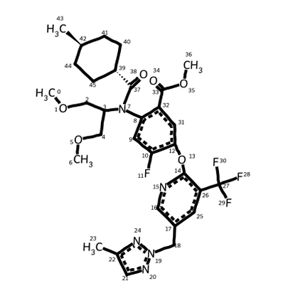 COCC(COC)N(c1cc(F)c(Oc2ncc(Cn3ncc(C)n3)cc2C(F)(F)F)cc1C(=O)OC)C(=O)[C@H]1CC[C@H](C)CC1